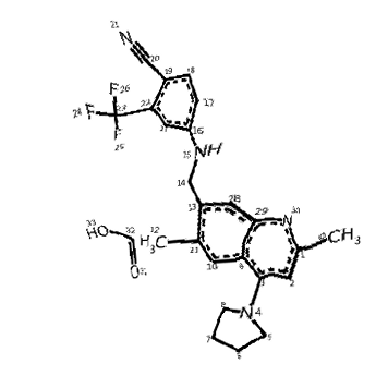 Cc1cc(N2CCCC2)c2cc(C)c(CNc3ccc(C#N)c(C(F)(F)F)c3)cc2n1.O=CO